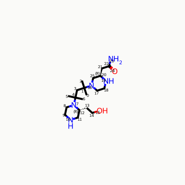 CC(C)(CC(C)(C)N1CCNC[C@H]1CCO)N1CCN[C@H](CC(N)=O)C1